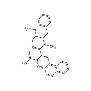 CNC(=O)[C@@H](Cc1ccccc1)N(C)C(=O)[C@@H](Cc1cccc2ccccc12)N(C)C(=O)O